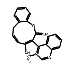 C=C1Oc2ccccc2C/C=C\C(C)=C/1c1c2ccccc2nc[n+]1C